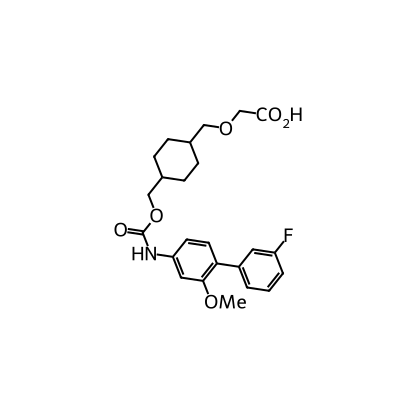 COc1cc(NC(=O)OCC2CCC(COCC(=O)O)CC2)ccc1-c1cccc(F)c1